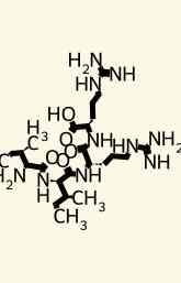 CC[C@H](C)[C@H](N)C(=O)N[C@H](C(=O)N[C@@H](CCCNC(=N)N)C(=O)N[C@@H](CCCNC(=N)N)C(=O)O)[C@@H](C)CC